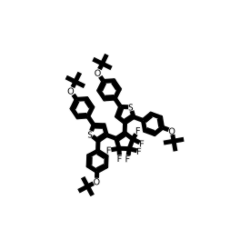 CC(C)(C)Oc1ccc(-c2cc(C3=C(c4cc(-c5ccc(OC(C)(C)C)cc5)sc4-c4ccc(OC(C)(C)C)cc4)C(F)(F)C(F)(F)C3(F)F)c(-c3ccc(OC(C)(C)C)cc3)s2)cc1